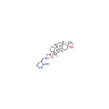 C[C@@]1(O)CC[C@@H]2[C@H](CC[C@@H]3[C@@H]2CC[C@]2(C)[C@@H](C(=O)CN/C=C4/C=NC=NC4=N)CC[C@@H]32)C1